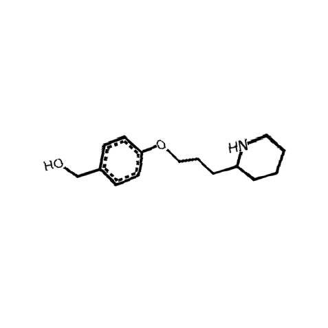 OCc1ccc(OCCCC2CCCCN2)cc1